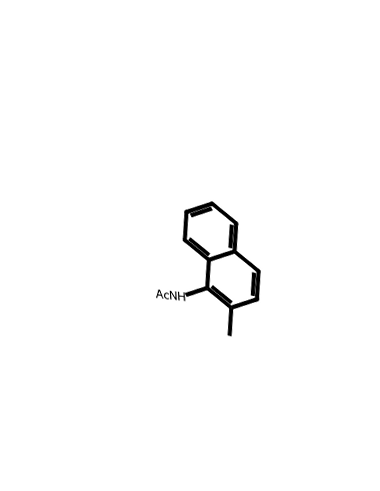 CC(=O)Nc1c(C)ccc2ccccc12